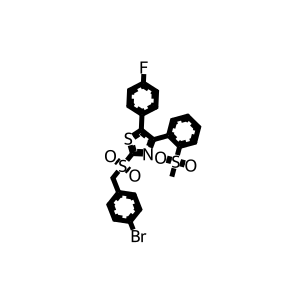 CS(=O)(=O)c1ccccc1-c1nc(S(=O)(=O)Cc2ccc(Br)cc2)sc1-c1ccc(F)cc1